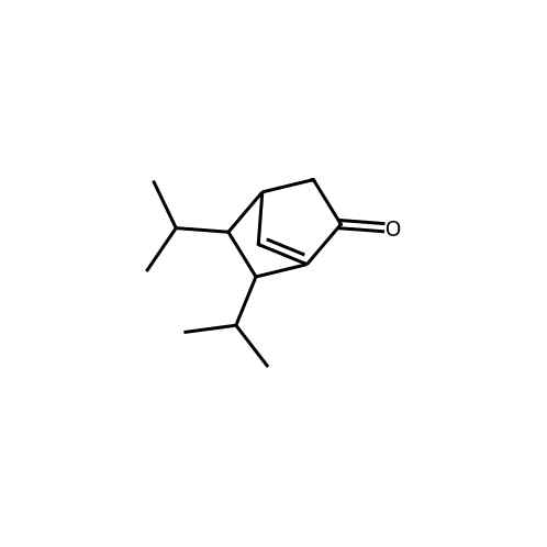 CC(C)C1C2=CC(CC2=O)C1C(C)C